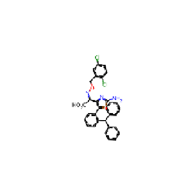 Nc1nc(C(=NOCc2cc(Cl)ccc2Cl)C(=O)O)c(-c2ccccc2C(c2ccccc2)c2ccccc2)s1